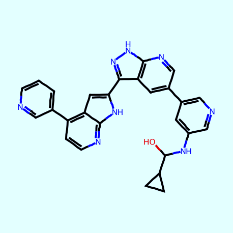 OC(Nc1cncc(-c2cnc3[nH]nc(-c4cc5c(-c6cccnc6)ccnc5[nH]4)c3c2)c1)C1CC1